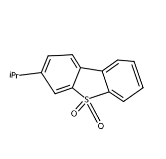 CC(C)c1ccc2c(c1)S(=O)(=O)c1ccccc1-2